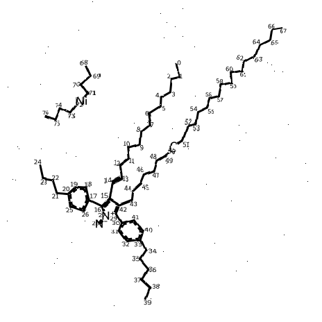 CCCCCCCCCCCCCC=CC1=C(c2ccc(CCCC)cc2)[N+](=[N-])C(c2ccc(CCCCCC)cc2)=C1CCCCCCCCCCCCCCCCCCCCCCCCC.CCC[CH2][Ni][CH2]CCC